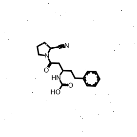 N#CC1CCCN1C(=O)CC(CCc1ccccc1)NC(=O)O